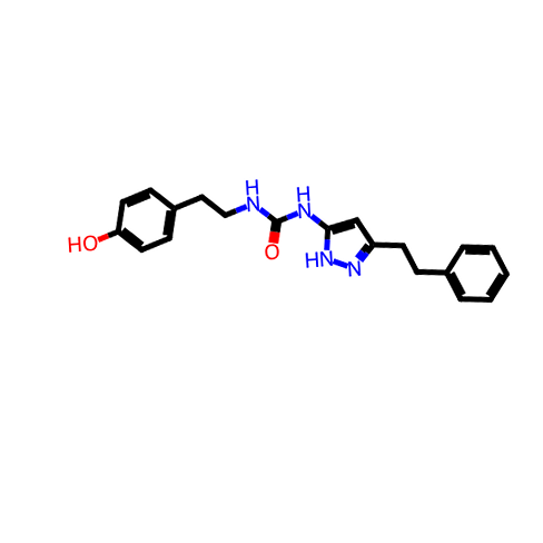 O=C(NCCc1ccc(O)cc1)Nc1cc(CCc2ccccc2)n[nH]1